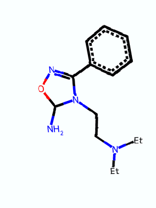 CCN(CC)CCN1C(c2ccccc2)=NOC1N